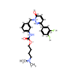 CN(C)CCCCOC(=O)Nc1cccc(Cn2nc(-c3ccc(F)c(F)c3)ccc2=O)c1